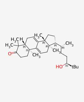 C[C@H](CC[C@H](O)C(C)(C)C)[C@H]1CC[C@@]2(C)C3=CC[C@H]4C(C)(C)C(=O)CC[C@]4(C)C3=CC[C@]12C